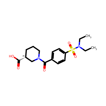 CCN(CC)S(=O)(=O)c1ccc(C(=O)N2CCC[C@@H](C(=O)O)C2)cc1